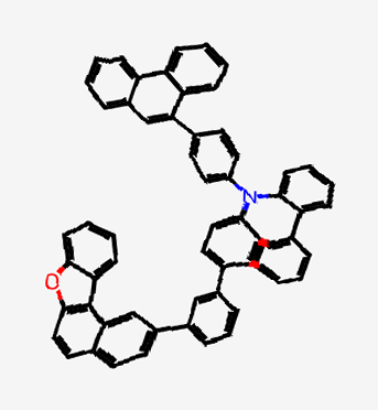 c1ccc(-c2ccccc2N(c2ccc(-c3cccc(-c4ccc5ccc6oc7ccccc7c6c5c4)c3)cc2)c2ccc(-c3cc4ccccc4c4ccccc34)cc2)cc1